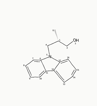 C[C@H](CO)Cn1c2ccccc2c2ccccc21